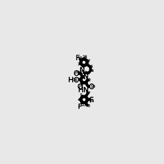 Cc1c(F)ccc(CNC(=O)c2cn3c(c(O)c2=O)C(=O)N2CC3CCc3ccc(F)cc32)c1F